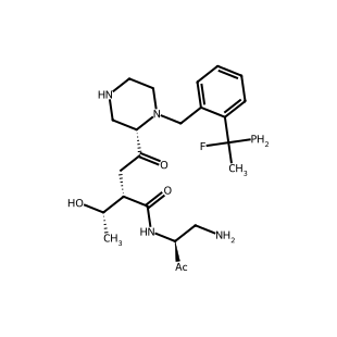 CC(=O)[C@H](CN)NC(=O)[C@@H](CC(=O)[C@@H]1CNCCN1Cc1ccccc1C(C)(F)P)[C@H](C)O